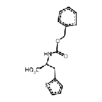 O=C(N[C@@H](Cc1cccs1)C(=O)O)OCc1ccccc1